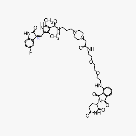 Cc1[nH]c(/C=C2\C(=O)Nc3ccc(F)cc32)c(C)c1C(=O)NCCCN1CCN(CC(=O)NCCOCCOCCNc2cccc3c2C(=O)N(C2CCC(=O)NC2=O)C3=O)CC1